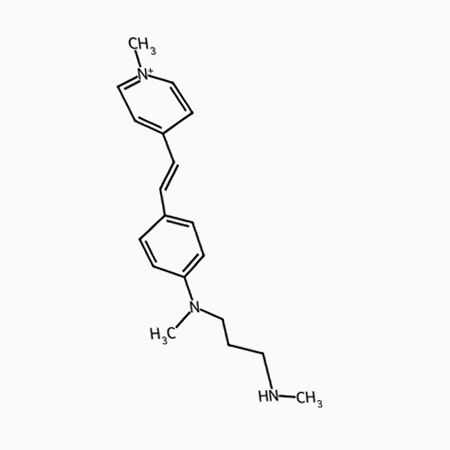 CNCCCN(C)c1ccc(/C=C/c2cc[n+](C)cc2)cc1